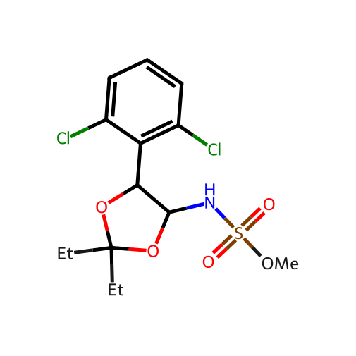 CCC1(CC)OC(NS(=O)(=O)OC)C(c2c(Cl)cccc2Cl)O1